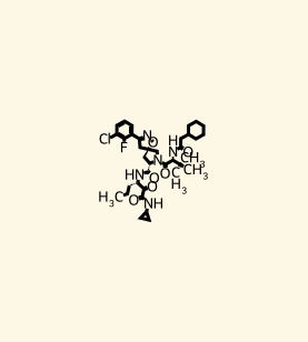 CCC[C@H](NC(=O)[C@@H]1C[C@]2(CC(c3cccc(Cl)c3F)=NO2)CN1C(=O)[C@@H](NC(=O)CC1CCCCC1)C(C)(C)C)C(=O)C(=O)NC1CC1